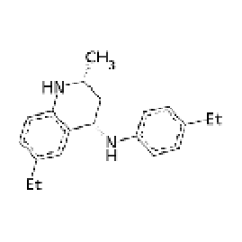 CCc1ccc(N[C@H]2C[C@@H](C)Nc3ccc(CC)cc32)cc1